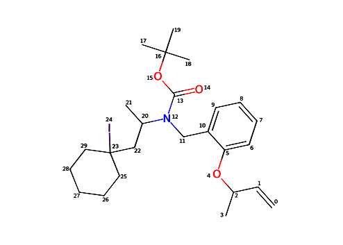 C=CC(C)Oc1ccccc1CN(C(=O)OC(C)(C)C)C(C)CC1(I)CCCCC1